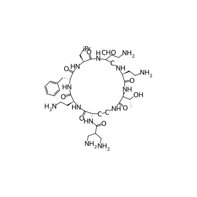 CC(C)C[C@@H]1NC(=O)[C@@H](Cc2ccccc2)NC(=O)[C@H](CCN)NC(=O)[C@@H](NC(=O)C(CN)CN)CCNC(=O)[C@H]([C@@H](C)O)NC(=O)[C@H](CCN)NC[C@](C=O)(CCN)NC1=O